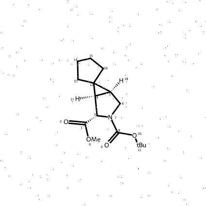 COC(=O)[C@@H]1[C@@H]2[C@H](CN1C(=O)OC(C)(C)C)C21CCCC1